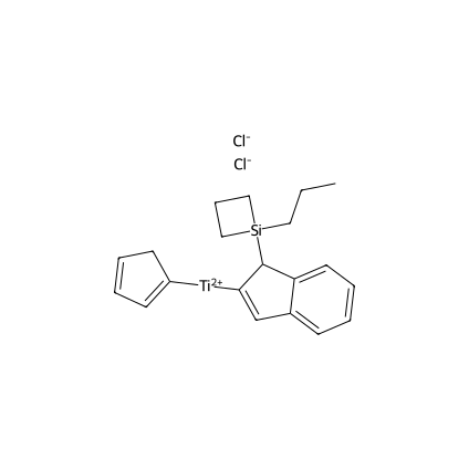 CCC[Si]1(C2[C]([Ti+2][C]3=CC=CC3)=Cc3ccccc32)CCC1.[Cl-].[Cl-]